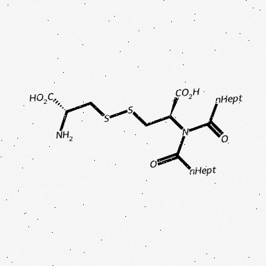 CCCCCCCC(=O)N(C(=O)CCCCCCC)[C@@H](CSSC[C@H](N)C(=O)O)C(=O)O